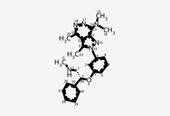 CNC[C@H](Oc1cccc(-n2nc3c(N(C)C)nnc(C)c3c2C)c1)c1ccccc1